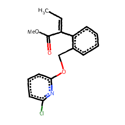 CC=C(C(=O)OC)c1ccccc1COc1cccc(Cl)n1